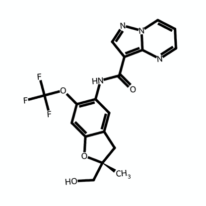 C[C@]1(CO)Cc2cc(NC(=O)c3cnn4cccnc34)c(OC(F)(F)F)cc2O1